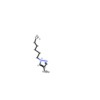 CCCCc1cnn(CCCCCC(F)(F)F)c1